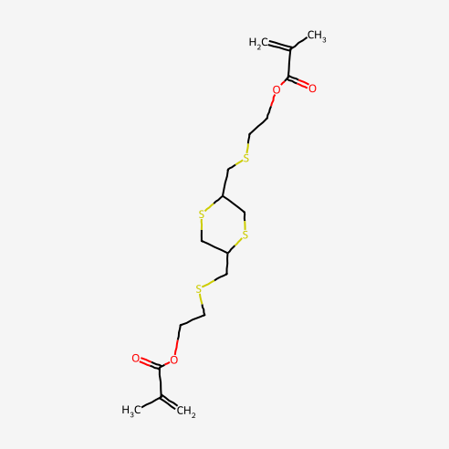 C=C(C)C(=O)OCCSCC1CSC(CSCCOC(=O)C(=C)C)CS1